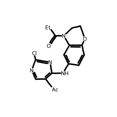 CCC(=O)N1CCOc2ccc(Nc3nc(Cl)ncc3C(C)=O)cc21